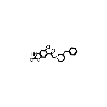 O=C(CN1CCC[C@H](Cc2ccccc2)C1)c1cc2oc(=O)[nH]c2cc1Cl